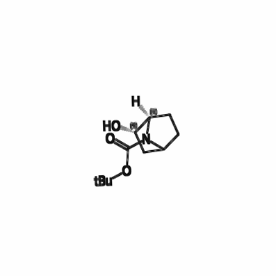 CC(C)(C)OC(=O)N1C2CC[C@@H]1[C@@H](O)C2